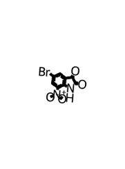 O=C1Nc2c(cc(Br)cc2[N+](=O)[O-])C1=O